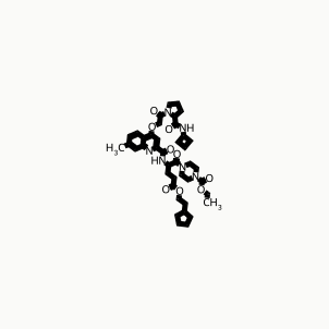 CCOC(=O)N1CCN(C(=O)C(CCC(=O)OCCC2CCCC2)NC(=O)c2cc(OCC(=O)N3CCCC3C(=O)NC3CCC3)c3ccc(C)cc3n2)CC1